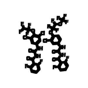 O=C(NC(=O)c1c(F)cccc1F)Nc1cc(Cl)c(OC(F)(F)C(F)F)c(Cl)c1.O=C(NC(=O)c1c(F)cccc1F)Nc1ccc(OC(F)(F)C(F)OC(F)(F)F)c(Cl)c1